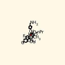 CCCC1O[C@@H]2C[C@H]3[C@@H]4C[C@H](F)C5=CC(=O)C=C[C@]5(C)[C@@]4(F)[C@@H](O)C[C@]3(C)[C@]2(C(=O)COc2ccc(CN)cc2)O1